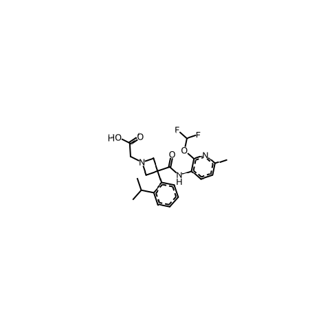 Cc1ccc(NC(=O)C2(c3ccccc3C(C)C)CN(CC(=O)O)C2)c(OC(F)F)n1